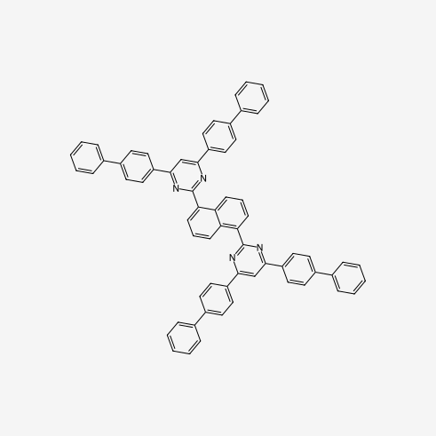 c1ccc(-c2ccc(-c3cc(-c4ccc(-c5ccccc5)cc4)nc(-c4cccc5c(-c6nc(-c7ccc(-c8ccccc8)cc7)cc(-c7ccc(-c8ccccc8)cc7)n6)cccc45)n3)cc2)cc1